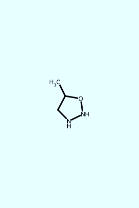 CC1CNNO1